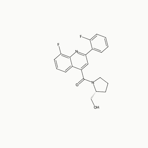 O=C(c1cc(-c2ccccc2F)nc2c(F)cccc12)N1CCC[C@@H]1CO